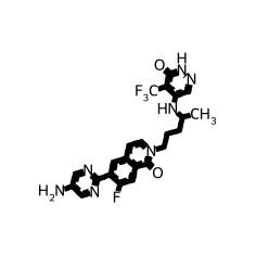 CC(CCCn1ccc2cc(-c3ncc(N)cn3)c(F)cc2c1=O)Nc1cn[nH]c(=O)c1C(F)(F)F